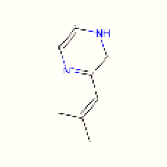 CC(C)=CC1=NC=[C]NC1